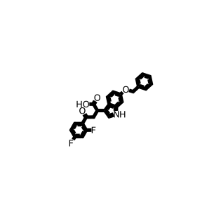 O=C(CC(C(=O)O)c1c[nH]c2cc(OCc3ccccc3)ccc12)c1ccc(F)cc1F